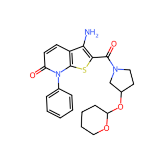 Nc1c(C(=O)N2CCC(OC3CCCCO3)C2)sc2c1ccc(=O)n2-c1ccccc1